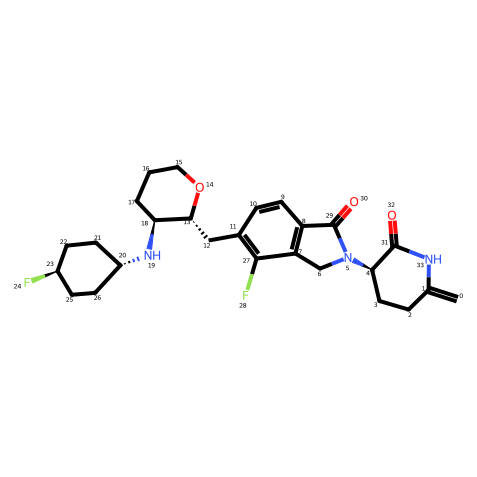 C=C1CC[C@@H](N2Cc3c(ccc(C[C@H]4OCCC[C@@H]4N[C@H]4CC[C@H](F)CC4)c3F)C2=O)C(=O)N1